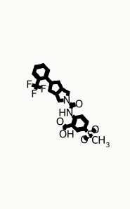 CS(=O)(=O)c1ccc(NC(=O)N2CC3CC(c4ccccc4C(F)(F)F)CC3C2)c(C(=O)O)c1